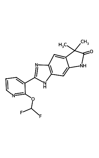 CC1(C)C(=O)Nc2cc3[nH]c(-c4cccnc4OC(F)F)nc3cc21